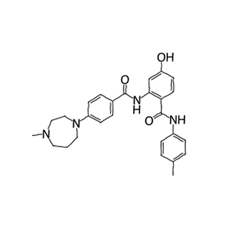 Cc1ccc(NC(=O)c2ccc(O)cc2NC(=O)c2ccc(N3CCCN(C)CC3)cc2)cc1